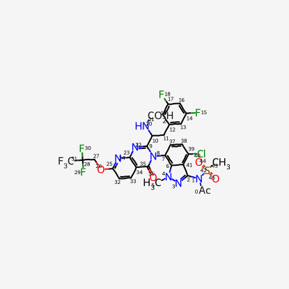 CC(=O)N(c1nn(C)c2c(-n3c(C(Cc4cc(F)cc(F)c4)NC(=O)O)nc4nc(OCC(F)(F)C(F)(F)F)ccc4c3=O)ccc(Cl)c12)S(C)(=O)=O